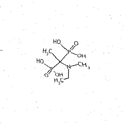 CCN(C)C(C)(P(=O)(O)O)P(=O)(O)O